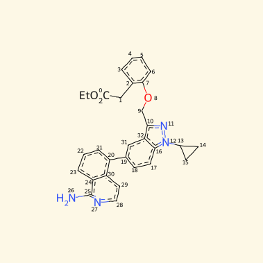 CCOC(=O)Cc1ccccc1OCc1nn(C2CC2)c2ccc(-c3cccc4c(N)nccc34)cc12